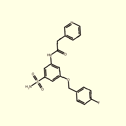 NS(=O)(=O)c1cc(NC(=O)Cc2cccnc2)cc(OCc2ccc(F)cc2)c1